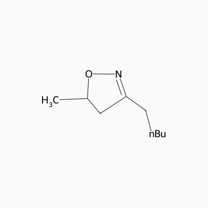 CCCCCC1=NOC(C)C1